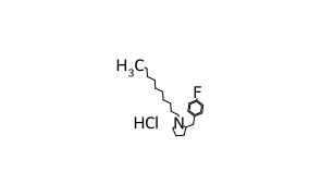 CCCCCCCCCCN1CCCC1Cc1ccc(F)cc1.Cl